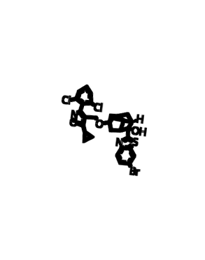 OC1(c2nc3ccc(Br)cc3s2)C2CC3C[C@H]1CC(OCc1c(-c4c(Cl)cccc4Cl)noc1C1CC1)(C3)C2